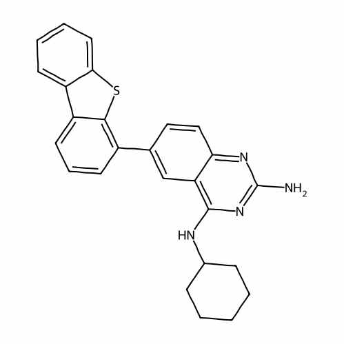 Nc1nc(NC2CCCCC2)c2cc(-c3cccc4c3sc3ccccc34)ccc2n1